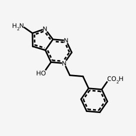 Nc1cc2c(O)n(CCc3ccccc3C(=O)O)cnc-2n1